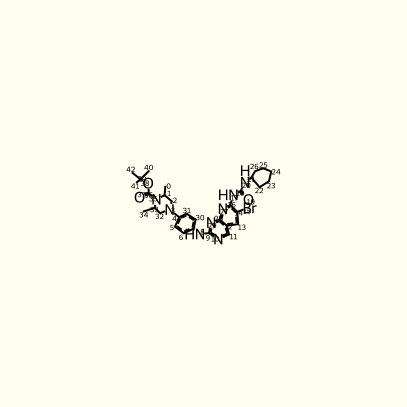 CC1CN(c2ccc(Nc3ncc4cc(Br)c(NC(=O)NC5CCCCC5)nc4n3)cc2)CC(C)N1C(=O)OC(C)(C)C